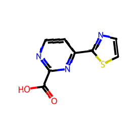 O=C(O)c1nccc(-c2nccs2)n1